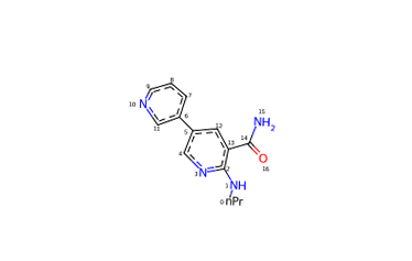 CCCNc1ncc(-c2cccnc2)cc1C(N)=O